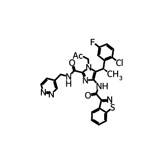 CC(=O)Cn1c(C(=O)NCc2ccnnc2)nc(NC(=O)c2nsc3ccccc23)c1[C@H](C)c1cc(F)ccc1Cl